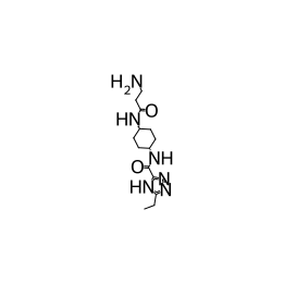 CCc1nnc(C(=O)N[C@H]2CC[C@H](NC(=O)CCN)CC2)[nH]1